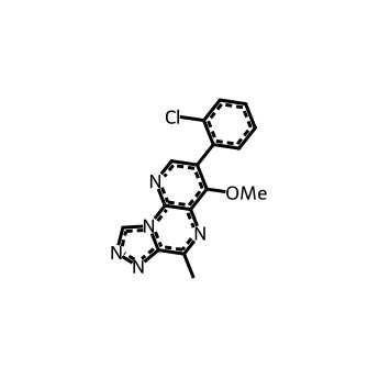 COc1c(-c2ccccc2Cl)cnc2c1nc(C)c1nncn12